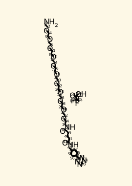 NCCOCCOCCOCCOCCOCCOCCOCCOCCOCCOCCOCCNC(=O)CCCC(=O)NCc1ccc(-c2nncnn2)cc1.O=C(O)C(F)(F)F